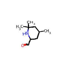 CC1CC(C=O)NC(C)(C)C1